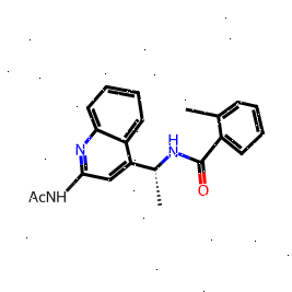 CC(=O)Nc1cc([C@@H](C)NC(=O)c2ccccc2C)c2ccccc2n1